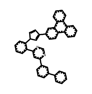 C1=CC(c2ccccc2-c2cc(-c3cccc(-c4ccccc4)c3)ncn2)C=C1c1ccc2c3ccccc3c3ccccc3c2c1